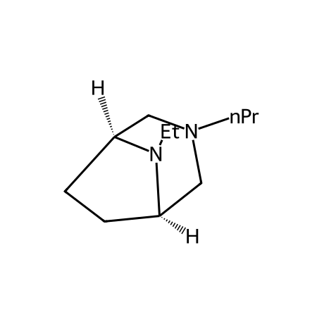 CCCN1C[C@H]2CC[C@@H](C1)N2CC